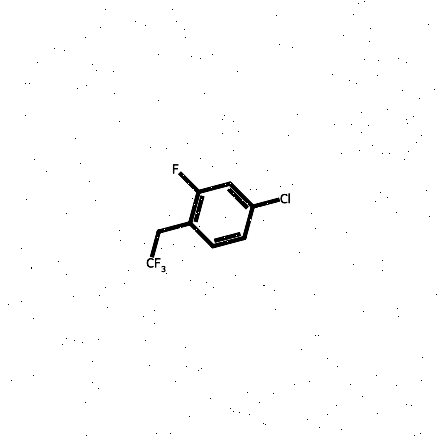 Fc1cc(Cl)ccc1CC(F)(F)F